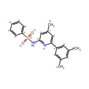 Cc1cc(C)cc(-c2cc(C)cc(NS(=O)(=O)c3ccccc3)n2)c1